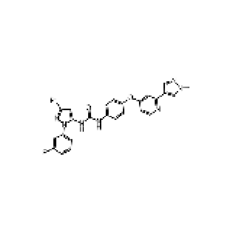 CC(C)c1cc(NC(=O)Nc2ccc(Oc3ccnc(-c4cnn(C)c4)c3)cc2)n(-c2cccc(F)c2)n1